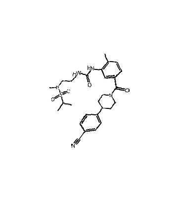 Cc1ccc(C(=O)N2CCC(c3ccc(C#N)cc3)CC2)cc1NC(=O)NCCN(C)S(=O)(=O)C(C)C